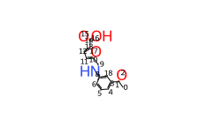 CC(=O)c1cccc(NCc2ccc(C(=O)O)o2)c1